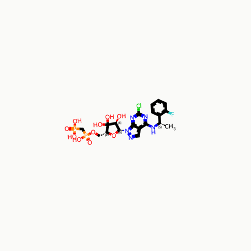 C[C@H](Nc1nc(Cl)nc2c1cnn2[C@@H]1O[C@H](COP(=O)(O)CP(=O)(O)O)C(O)(O)[C@H]1O)c1ccccc1F